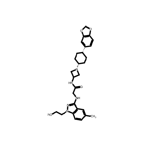 Cc1ccc2c(c1)c(NCC(=O)NC1CN([C@H]3CC[C@@H](c4ccc5c(c4)OCO5)CC3)C1)nn2CCO